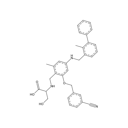 Cc1cc(NCc2cccc(-c3ccccc3)c2C)cc(OCc2cccc(C#N)c2)c1CNC(CO)C(=O)O